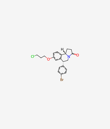 O=C1CC[C@H]2c3ccc(OCCCCl)cc3[C@@H](c3ccc(Br)cc3)CN12